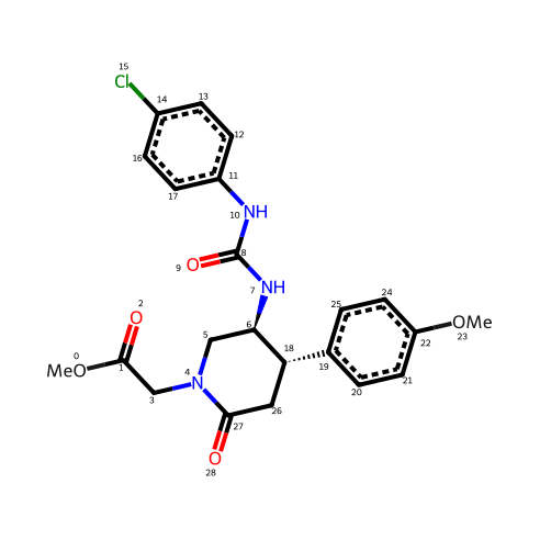 COC(=O)CN1C[C@@H](NC(=O)Nc2ccc(Cl)cc2)[C@H](c2ccc(OC)cc2)CC1=O